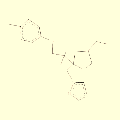 CCC1COC(Cn2cncn2)(C(C)(C)COc2ccc(Cl)cc2)O1.Cl